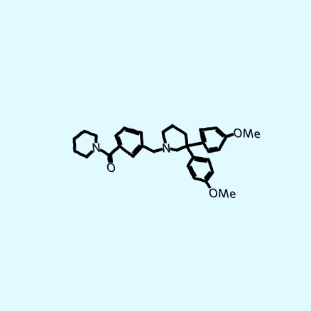 COc1ccc(C2(c3ccc(OC)cc3)CCCN(Cc3cccc(C(=O)N4CCCCC4)c3)C2)cc1